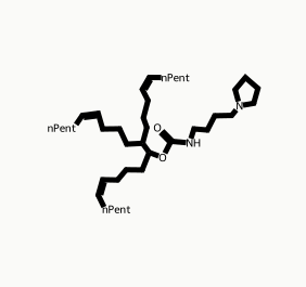 CCCCC/C=C\CCCC(CCC/C=C\CCCCC)C(CCC/C=C\CCCCC)OC(=O)NCCCCN1CCCC1